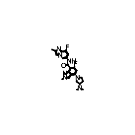 Cc1cn2cc(NC(=O)c3c(F)cc(N4CCC(N(C)C)C4)c4cn(C)nc34)cc(F)c2n1